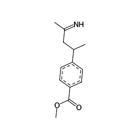 COC(=O)c1ccc(C(C)CC(C)=N)cc1